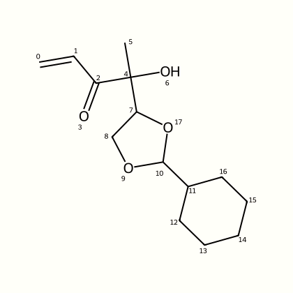 C=CC(=O)C(C)(O)C1COC(C2CCCCC2)O1